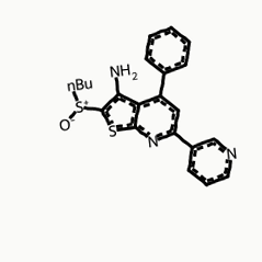 CCCC[S+]([O-])c1sc2nc(-c3cccnc3)cc(-c3ccccc3)c2c1N